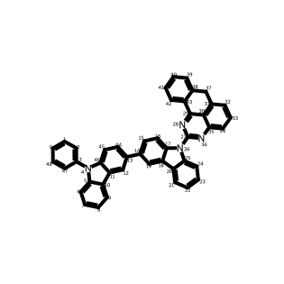 c1ccc(-n2c3ccccc3c3cc(-c4ccc5c(c4)c4ccccc4n5-c4nc5c6c(cccc6n4)Cc4ccccc4-5)ccc32)cc1